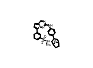 CN1C2CCC1CC(c1ccc(Nc3ncc4ccc(-c5cccc(S(=O)(=O)NC(C)(C)C)c5)n4n3)cc1)C2